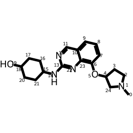 CN1CCC(Oc2cccc3cnc(NC4CCC(O)CC4)nc23)C1